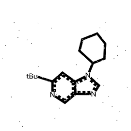 CC(C)(C)c1cc2c(cn1)ncn2C1CCCCC1